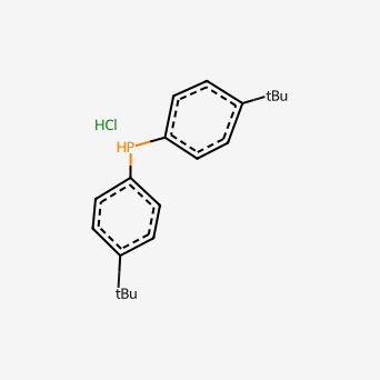 CC(C)(C)c1ccc(Pc2ccc(C(C)(C)C)cc2)cc1.Cl